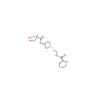 CC(CO)(CO)C(=O)O[C@H]1CC[C@H](CCCOC(=O)[C@@H]2CCCCN2)CC1